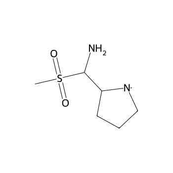 CS(=O)(=O)C(N)C1CCC[N]1